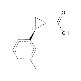 Cc1cccc([C@H]2CC2C(=O)O)c1